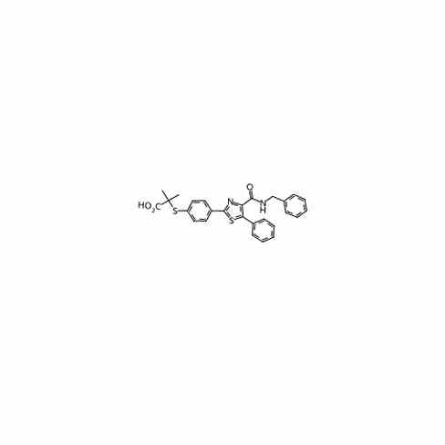 CC(C)(Sc1ccc(-c2nc(C(=O)NCc3ccccc3)c(-c3ccccc3)s2)cc1)C(=O)O